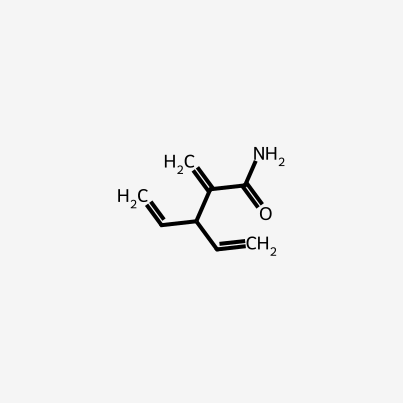 C=CC(C=C)C(=C)C(N)=O